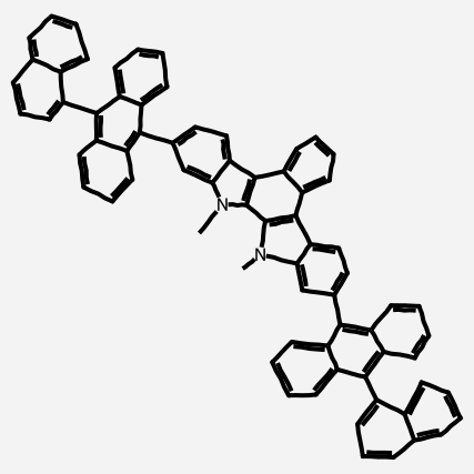 Cn1c2cc(-c3c4ccccc4c(-c4cccc5ccccc45)c4ccccc34)ccc2c2c3ccccc3c3c4ccc(-c5c6ccccc6c(-c6cccc7ccccc67)c6ccccc56)cc4n(C)c3c21